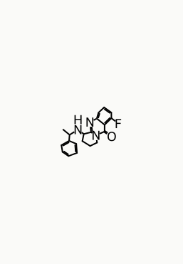 CC(NC1CCCn2c1nc1cccc(F)c1c2=O)c1ccccc1